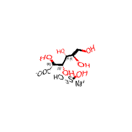 O=C([O-])[C@H](O)[C@@H](O)[C@H](O)[C@H](O)CO.O=S(=O)(O)O.[Na+]